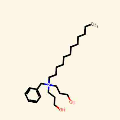 CCCCCCCCCCCC[N+](CCCO)(CCCO)Cc1ccccc1